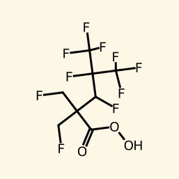 O=C(OO)C(CF)(CF)C(F)C(F)(C(F)(F)F)C(F)(F)F